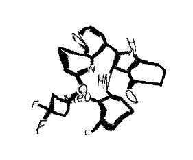 COc1c(Cl)cccc1Nc1c(-c2ccnc3ccc(OC4CC(F)(F)C4)nc23)[nH]c2c1C(=O)CCC2